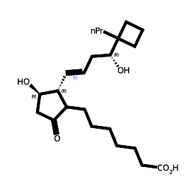 CCCC1([C@H](O)C/C=C/[C@@H]2C(CCCCCCC(=O)O)C(=O)C[C@H]2O)CCC1